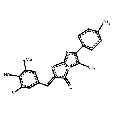 COc1cc(/C=c2\sc3nc(-c4ccc(C)cc4)c(C)n3c2=O)cc(Cl)c1O